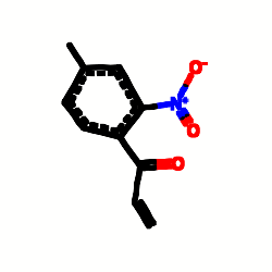 C=CC(=O)c1ccc(C)cc1[N+](=O)[O-]